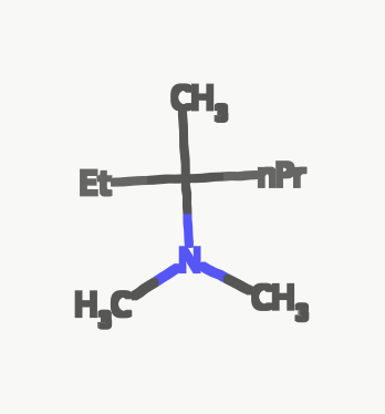 [CH2]CCC(C)(CC)N(C)C